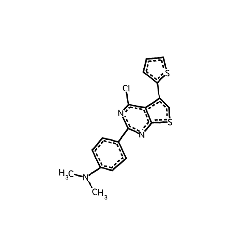 CN(C)c1ccc(-c2nc(Cl)c3c(-c4cccs4)csc3n2)cc1